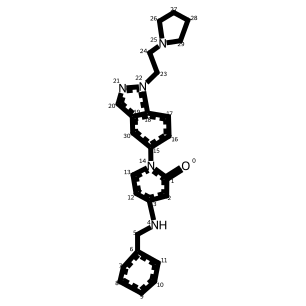 O=c1cc(NCc2ccccc2)ccn1-c1ccc2c(cnn2CCN2CCCC2)c1